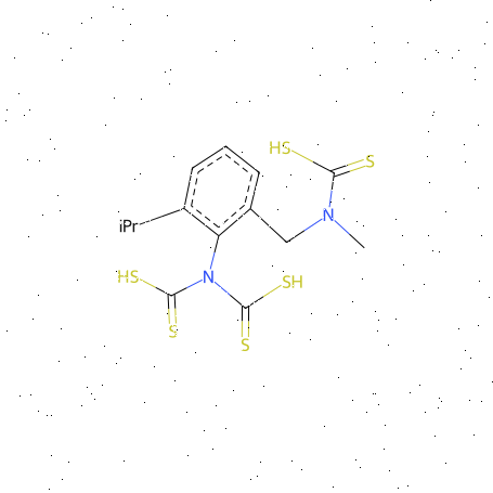 CC(C)c1cccc(CN(C)C(=S)S)c1N(C(=S)S)C(=S)S